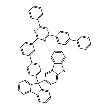 c1ccc(-c2ccc(-c3nc(-c4ccccc4)nc(-c4cccc(-c5ccc(C6(c7ccc8sc9ccccc9c8c7)c7ccccc7-c7ccccc76)cc5)c4)n3)cc2)cc1